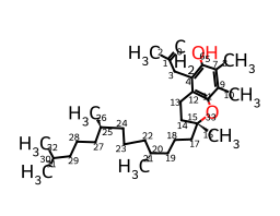 C=C(C)Cc1c(O)c(C)c(C)c2c1CC[C@@](C)(CCC[C@H](C)CCC[C@H](C)CCCC(C)C)O2